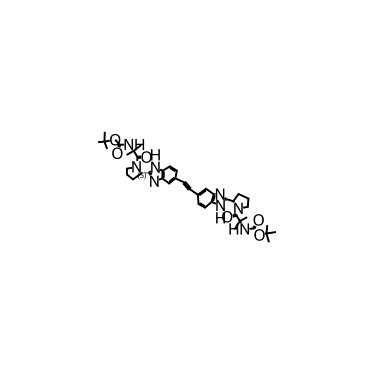 CC(C)(C)OC(=O)NC(C)(C)C(=O)N1CCCC1c1nc2cc(C#Cc3ccc4[nH]c([C@@H]5CCCN5C(=O)C(C)(C)NC(=O)OC(C)(C)C)nc4c3)ccc2[nH]1